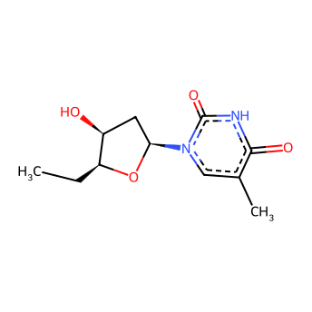 CC[C@@H]1O[C@H](n2cc(C)c(=O)[nH]c2=O)C[C@@H]1O